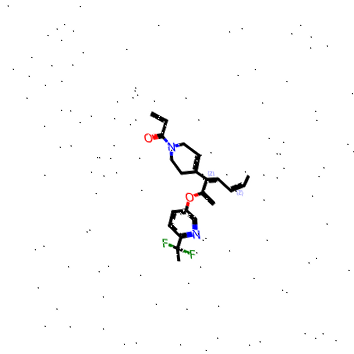 C=CC(=O)N1CC=C(/C(=C/C=C\C)C(=C)Oc2ccc(C(C)(F)F)nc2)CC1